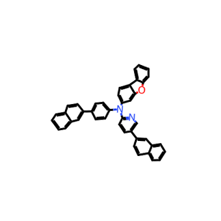 c1ccc2cc(-c3ccc(N(c4ccc5c(c4)oc4ccccc45)c4ccc(-c5ccc6ccccc6c5)cn4)cc3)ccc2c1